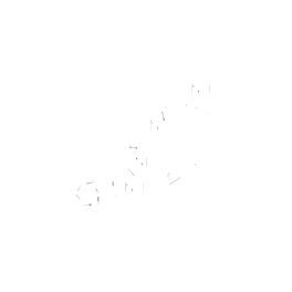 NC(=O)OC1CCCCC/C=C/C2CC2(C(=O)NS(=O)(=O)c2ccccc2)NC(=O)C2CCCN2C1=O